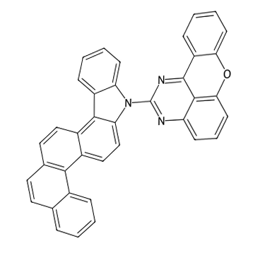 c1ccc2c(c1)Oc1cccc3nc(-n4c5ccccc5c5c6ccc7ccc8ccccc8c7c6ccc54)nc-2c13